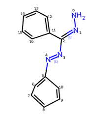 N/N=C(/N=N/c1ccccc1)c1ccccc1